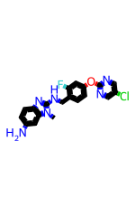 Cn1c(NCc2ccc(Oc3ncc(Cl)cn3)cc2F)nc2ccc(N)cc21